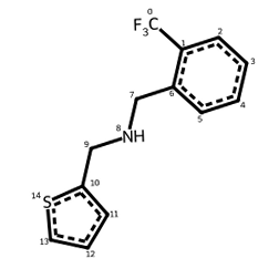 FC(F)(F)c1ccccc1CNCc1cccs1